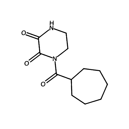 O=C1NCCN(C(=O)C2CCCCCC2)C1=O